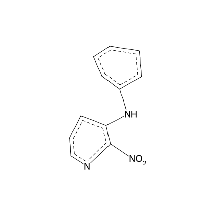 O=[N+]([O-])c1ncccc1Nc1ccccc1